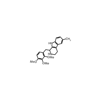 COc1ccc(CC2NCCc3c2[nH]c2ccc(C)cc32)c(OC)c1OC